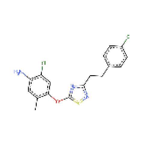 Cc1cc(N)c(Cl)cc1Oc1nc(CCc2ccc(Cl)cc2)ns1